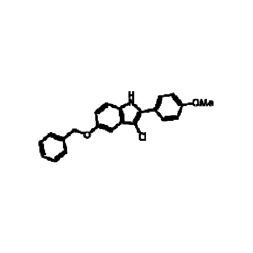 COc1ccc(-c2[nH]c3ccc(OCc4ccccc4)cc3c2Cl)cc1